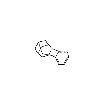 c1ccc2c(c1)[C]1C3CC4CC(C3)CC12C4